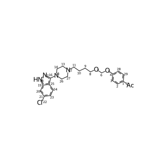 CC(=O)c1ccc(OCOCCCCN2CCN(c3n[nH]c4cc(Cl)ccc34)CC2)cc1